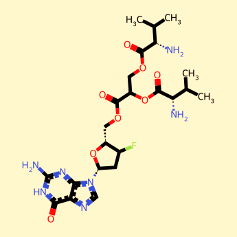 CC(C)[C@H](N)C(=O)OCC(OC(=O)[C@@H](N)C(C)C)C(=O)OC[C@H]1O[C@@H](n2cnc3c(=O)[nH]c(N)nc32)CC1F